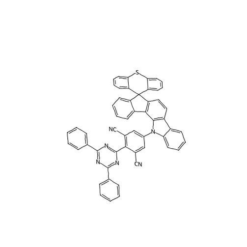 N#Cc1cc(-n2c3ccccc3c3ccc4c(c32)-c2ccccc2C42c3ccccc3Sc3ccccc32)cc(C#N)c1-c1nc(-c2ccccc2)nc(-c2ccccc2)n1